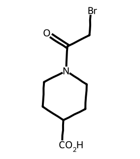 O=C(O)C1CCN(C(=O)CBr)CC1